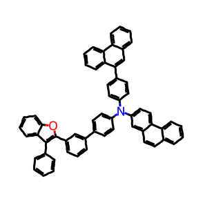 c1ccc(-c2c(-c3cccc(-c4ccc(N(c5ccc(-c6cc7ccccc7c7ccccc67)cc5)c5ccc6c(ccc7ccccc76)c5)cc4)c3)oc3ccccc23)cc1